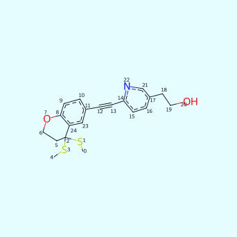 CSC1(SC)CCOc2ccc(C#Cc3ccc(CCO)cn3)cc21